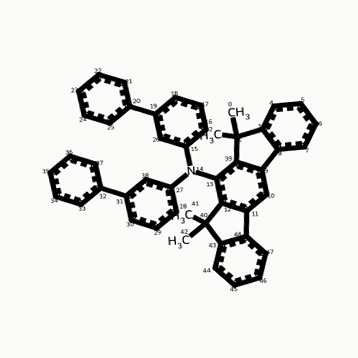 CC1(C)c2ccccc2-c2cc3c(c(N(c4cccc(-c5ccccc5)c4)c4cccc(-c5ccccc5)c4)c21)C(C)(C)c1ccccc1-3